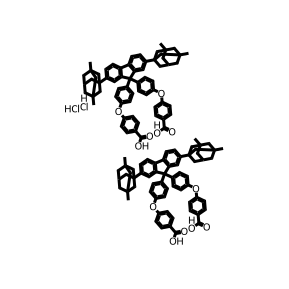 CC12CC3CC(C)(C1)CC(c1ccc4c(c1)C(c1ccc(Oc5ccc(C(=O)O)cc5)cc1)(c1ccc(Oc5ccc(C(=O)O)cc5)cc1)c1cc(C56CC7CC(C)(CC(C)(C7)C5)C6)ccc1-4)(C3)C2.CC12CC3CC(C)(C1)CC(c1ccc4c(c1)C(c1ccc(Oc5ccc(C(=O)O)cc5)cc1)(c1ccc(Oc5ccc(C(=O)O)cc5)cc1)c1cc(C56CC7CC(C)(CC(C)(C7)C5)C6)ccc1-4)(C3)C2.Cl.Cl